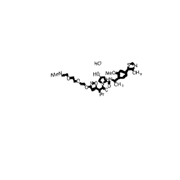 CNCCOCCOCCOc1cc(C(C(=O)N2C[C@H](O)C[C@H]2C(=O)NC(C)c2ccc(-c3scnc3C)cc2OC)C(C)C)on1.Cl